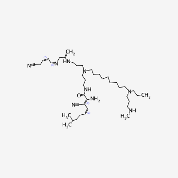 C=C(C/N=C\C=C/CC#N)NCCCN(CCCCCCCCCN(CCC)CCCNC)CCCNC(=O)/C(N)=C(C#N)/C=C\CCC(C)C